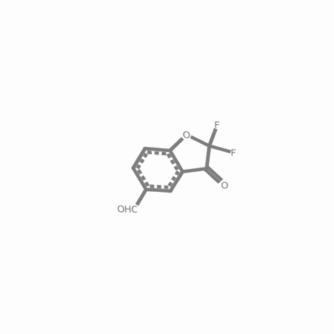 O=Cc1ccc2c(c1)C(=O)C(F)(F)O2